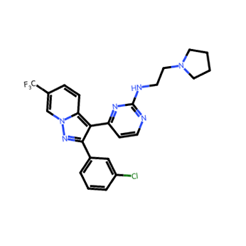 FC(F)(F)c1ccc2c(-c3ccnc(NCCN4CCCC4)n3)c(-c3cccc(Cl)c3)nn2c1